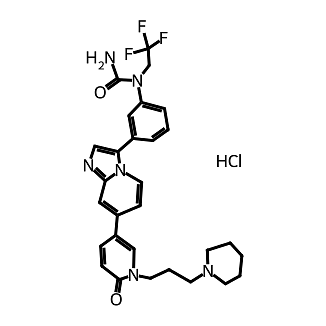 Cl.NC(=O)N(CC(F)(F)F)c1cccc(-c2cnc3cc(-c4ccc(=O)n(CCCN5CCCCC5)c4)ccn23)c1